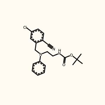 CC(C)(C)OC(=O)NCCN(Cc1cc(Cl)ccc1C#N)c1ccccc1